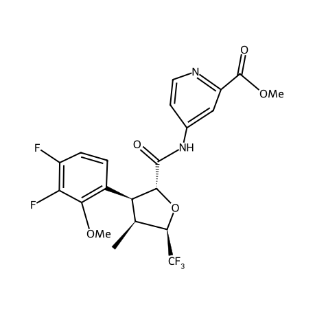 COC(=O)c1cc(NC(=O)[C@@H]2O[C@@H](C(F)(F)F)[C@@H](C)[C@H]2c2ccc(F)c(F)c2OC)ccn1